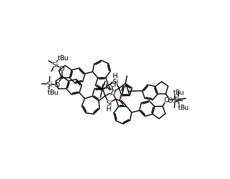 CC1=CC2=C(C=CC=CC2c2ccc3c(c2)CCC3O[Si](C)(C)C(C)(C)C)[C]12[SiH](C)[C]1(C(C)=CC3=C1C=CC=CC3c1ccc3c(c1)CCC3O[Si](C)(C)C(C)(C)C)[Zr]21([Cl])([Cl])[C]2(C(C)=CC3=C2C=CC=CC3c2ccc3c(c2)CCC3O[Si](C)(C)C(C)(C)C)[SiH](C)[C]12C(C)=CC1=C2C=CC=CC1c1ccc2c(c1)CCC2O[Si](C)(C)C(C)(C)C